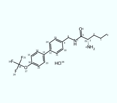 CCC[C@H](N)C(=O)NCc1ccc(-c2ccc(OC(F)(F)F)cc2)cc1.Cl